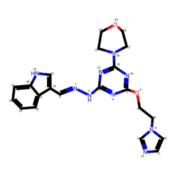 C(=NNc1nc(OCCn2ccnc2)nc(N2CCOCC2)n1)c1c[nH]c2ccccc12